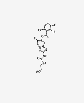 C[C@@H](Oc1cc2sc(NC(=O)NCCO)nc2cc1F)c1c(Cl)ccc(F)c1Cl